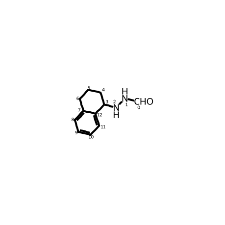 O=CNNC1CCCc2ccccc21